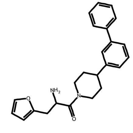 NC(Cc1ccco1)C(=O)N1CCC(c2cccc(-c3ccccc3)c2)CC1